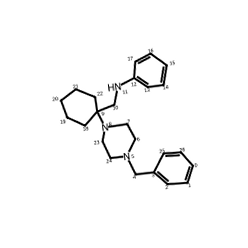 c1ccc(CN2CCN(C3(CNc4ccccc4)CCCCC3)CC2)cc1